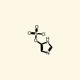 O=S(=O)(Cl)Oc1cnc[nH]1